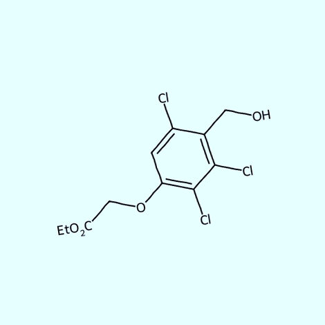 CCOC(=O)COc1cc(Cl)c(CO)c(Cl)c1Cl